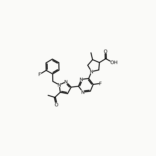 CC(=O)c1cc(-c2ncc(F)c(N3CC(C)C(C(=O)O)C3)n2)nn1Cc1ccccc1F